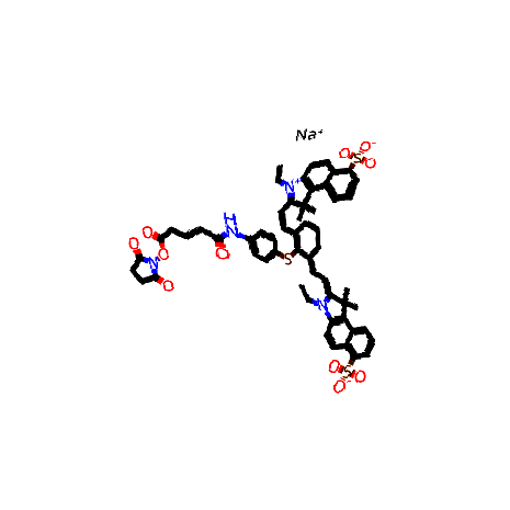 CCN1C(=CC=C2CCCC(C=CC3=[N+](CC)c4ccc5c(S(=O)(=O)[O-])cccc5c4C3(C)C)=C2Sc2ccc(NC(=O)CCCC(=O)ON3C(=O)CCC3=O)cc2)C(C)(C)c2c1ccc1c(S(=O)(=O)[O-])cccc21.[Na+]